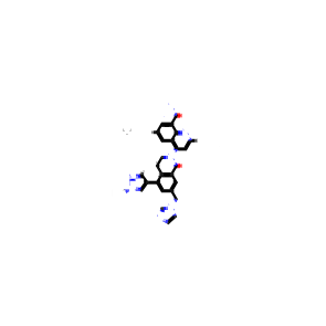 COc1cc(C(N)=O)c2nc(C)cc(N3CCc4c(cc(Cn5ccnc5)cc4-c4cn(C)nc4C(F)(F)F)C3=O)c2c1